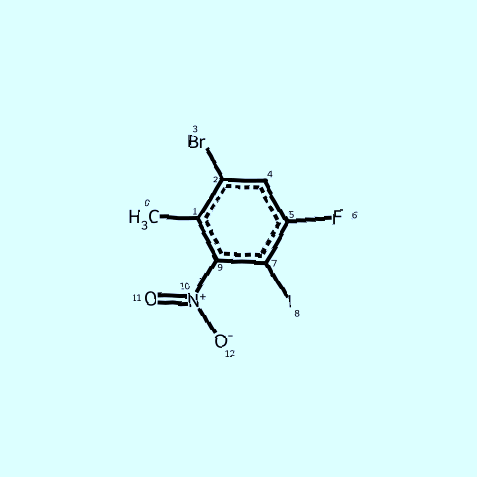 Cc1c(Br)cc(F)c(I)c1[N+](=O)[O-]